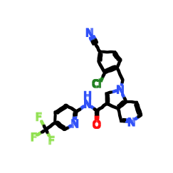 N#Cc1ccc(Cn2cc(C(=O)Nc3ccc(C(F)(F)F)cn3)c3cnccc32)c(Cl)c1